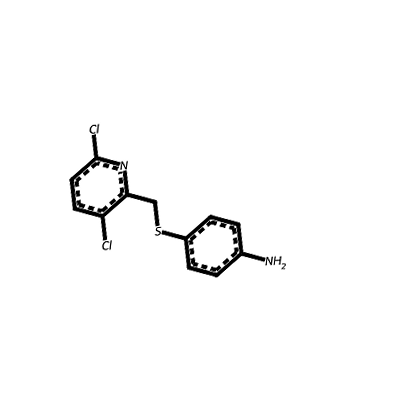 Nc1ccc(SCc2nc(Cl)ccc2Cl)cc1